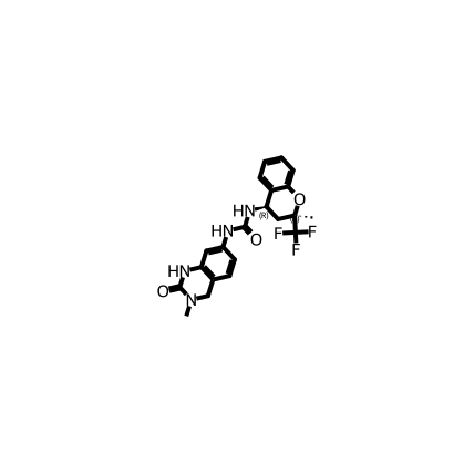 CN1Cc2ccc(NC(=O)N[C@@H]3C[C@](C)(C(F)(F)F)Oc4ccccc43)cc2NC1=O